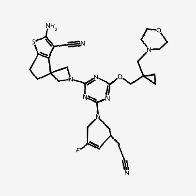 N#CCC1C=C(F)CN(c2nc(OCC3(CN4CCOCC4)CC3)nc(N3CC4(CCc5sc(N)c(C#N)c54)C3)n2)C1